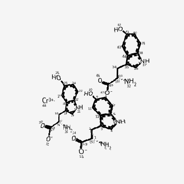 N[C@@H](Cc1c[nH]c2ccc(O)cc12)C(=O)[O-].N[C@@H](Cc1c[nH]c2ccc(O)cc12)C(=O)[O-].N[C@@H](Cc1c[nH]c2ccc(O)cc12)C(=O)[O-].[Cr+3]